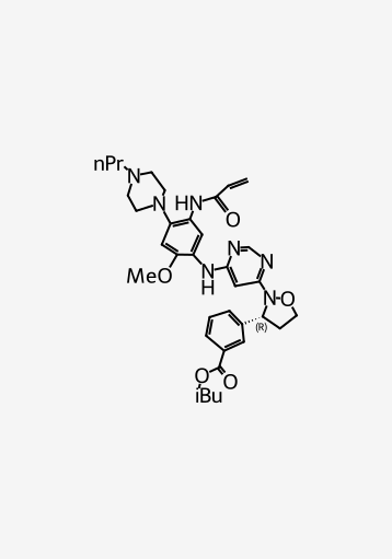 C=CC(=O)Nc1cc(Nc2cc(N3OCC[C@@H]3c3cccc(C(=O)OC(C)CC)c3)ncn2)c(OC)cc1N1CCN(CCC)CC1